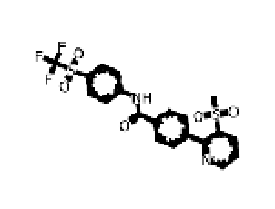 CS(=O)(=O)c1cccnc1-c1ccc(C(=O)Nc2ccc(S(=O)(=O)C(F)(F)F)cc2)cc1